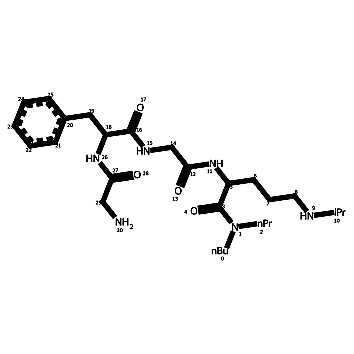 CCCCN(CCC)C(=O)C(CCCNC(C)C)NC(=O)CNC(=O)C(Cc1ccccc1)NC(=O)CN